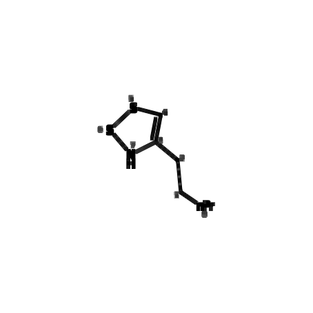 CCCCCC1=CSSN1